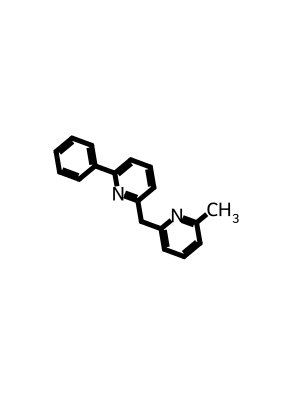 Cc1cccc(Cc2cccc(-c3ccccc3)n2)n1